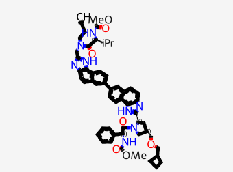 C#CCCN(Cc1nc2ccc3cc(-c4ccc5c(ccc6nc([C@@H]7C[C@H](COCC8CCC8)CN7C(=O)[C@H](NC(=O)OC)c7ccccc7)[nH]c65)c4)ccc3c2[nH]1)C(=O)[C@@H](NC(=O)OC)C(C)C